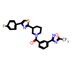 O=C(c1cccc(-c2noc(C(F)(F)F)n2)c1)N1CCCC(c2nc(-c3ccc(F)cc3)cs2)C1